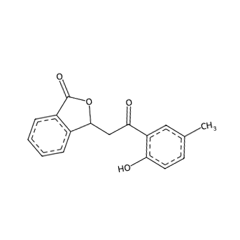 Cc1ccc(O)c(C(=O)CC2OC(=O)c3ccccc32)c1